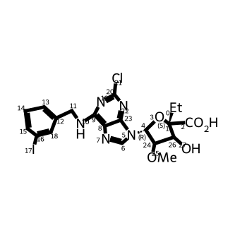 CC[C@]1(C(=O)O)O[C@@H](n2cnc3c(NCc4cccc(I)c4)nc(Cl)nc32)C(OC)C1O